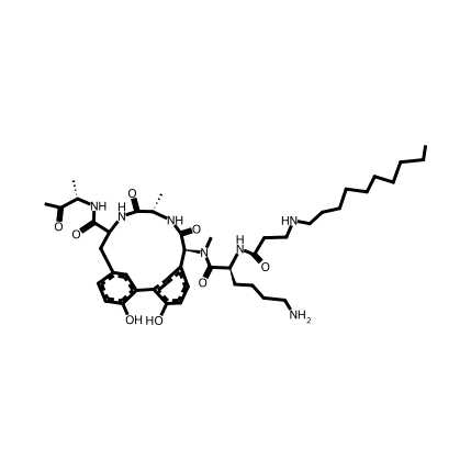 CCCCCCCCCCNCCC(=O)N[C@@H](CCCCN)C(=O)N(C)[C@@H]1C(=O)N[C@@H](C)C(=O)NC(C(=O)N[C@@H](C)C(C)=O)Cc2ccc(O)c(c2)-c2cc1ccc2O